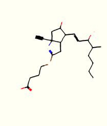 C#CC12CC(O)C(C=CC(O)C(C)CCCC)C1CC(SCCCC(=O)O)=N2